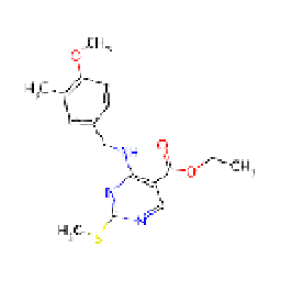 CCOC(=O)c1cnc(SC)nc1NCc1ccc(OC)c(C)c1